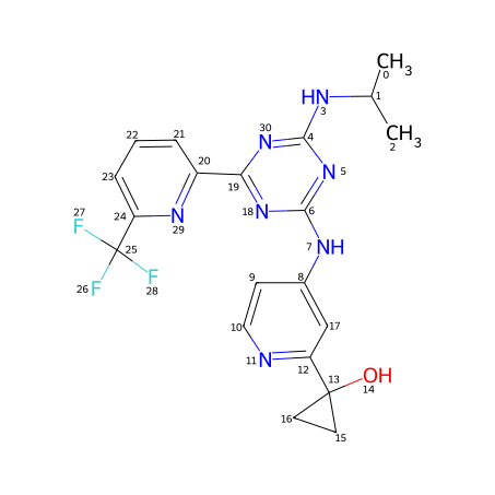 CC(C)Nc1nc(Nc2ccnc(C3(O)CC3)c2)nc(-c2cccc(C(F)(F)F)n2)n1